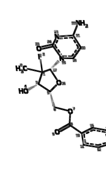 CC1(F)[C@@H](O)[C@@H](COC(=O)c2ccccc2)O[C@H]1n1ccc(N)nc1=O